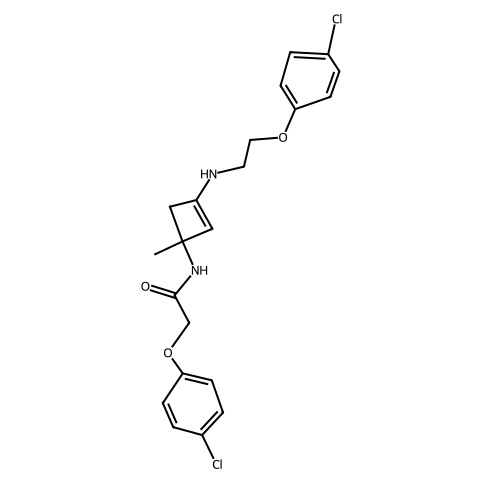 CC1(NC(=O)COc2ccc(Cl)cc2)C=C(NCCOc2ccc(Cl)cc2)C1